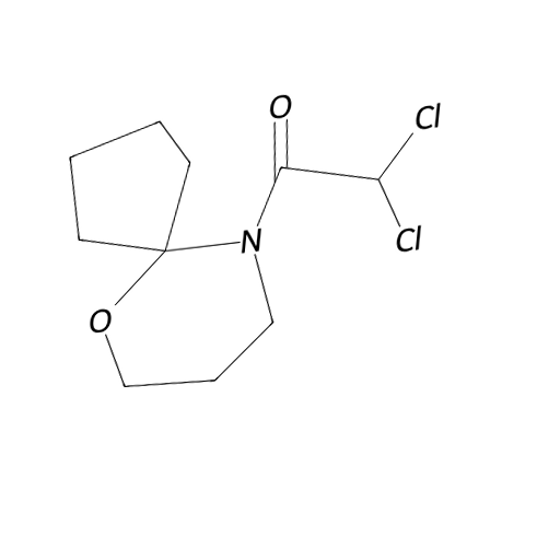 O=C(C(Cl)Cl)N1CCCOC12CCCC2